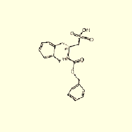 O=C(N[C@H](Cc1ccccc1F)CS(=O)(=O)O)OCc1ccccc1